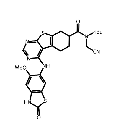 CCCCN(CC#N)C(=O)C1CCc2c(sc3ncnc(Nc4cc5sc(=O)[nH]c5cc4OC)c23)C1